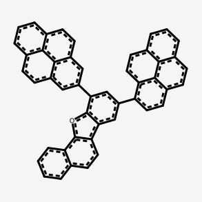 c1ccc2c(c1)ccc1c3cc(-c4ccc5ccc6cccc7ccc4c5c67)cc(-c4cc5ccc6cccc7ccc(c4)c5c67)c3oc21